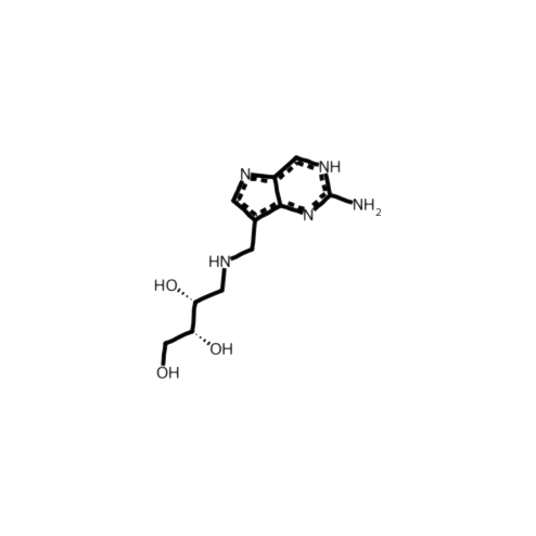 Nc1nc2c(CNC[C@@H](O)[C@H](O)CO)cnc-2c[nH]1